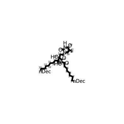 CCCCCCCCCCCCCCCCCC(=O)C(O)[C@H]1O[C@@H](n2cc(F)c(=O)[nH]c2=O)C[C@@]1(O)C(=O)CCCCCCCCCCCCCCCCC